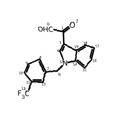 O=CC(=O)c1cn(Cc2cccc(C(F)(F)F)c2)c2ccccc12